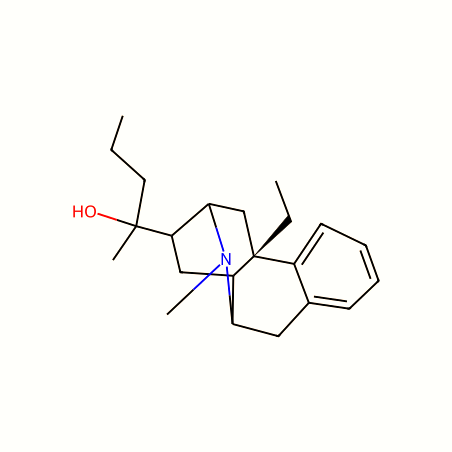 CCCC(C)(O)C1CC2C3Cc4ccccc4[C@@]2(CC)CC1N3C